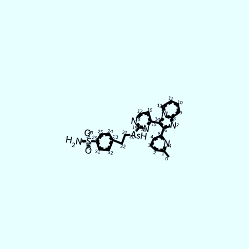 Cc1cccc(-c2nc3ccccn3c2-c2ccnc([AsH]CCc3ccc(S(N)(=O)=O)cc3)n2)n1